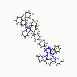 C=C/C=C\c1c(C)n(-c2ccccc2)c2c1ccc1c3ccccc3n(-c3nc(-c4ccccc4)nc(-c4ccc(-c5ccc6c(c5)sc5c7ccccc7c7c(c8ccccc8n7-c7nc(-c8ccccc8)c8ccccc8n7)c65)cc4)n3)c12